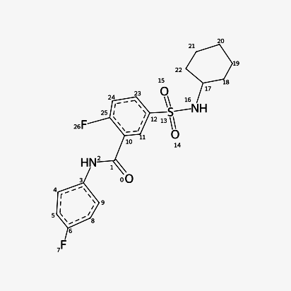 O=C(Nc1ccc(F)cc1)c1cc(S(=O)(=O)NC2CCCCC2)ccc1F